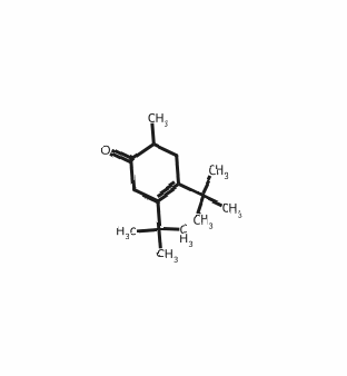 CC1CC(C(C)(C)C)=C(C(C)(C)C)CC1=O